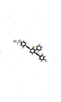 Cc1ccc(C#Cc2ccc(C#Cc3ccc(I)cc3)c(C3=CCCCC3)c2F)cc1